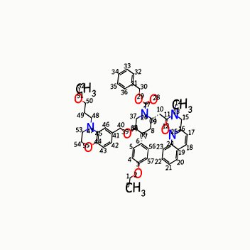 CCOc1ccc([C@H]2C[C@@H](CC(=O)N(C)Cc3ccc4ccccc4n3)N(C(=O)OCc3ccccc3)C[C@@H]2OCc2ccc3c(c2)N(CCCOC)CCO3)cc1